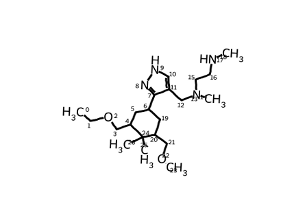 CCOCC1CC(c2n[nH]cc2CN(C)CCNC)CC(COC)C1(C)C